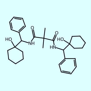 CC(C)(C(=O)NC(c1ccccc1)C1(O)CCCCC1)C(=O)NC(c1ccccc1)C1(O)CCCCC1